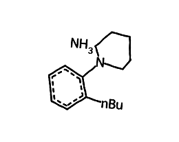 CCCCc1ccccc1N1CCCCC1.N